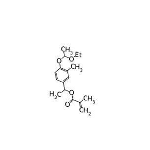 C=C(C)C(=O)OC(C)c1ccc(OC(C)OCC)c(C)c1